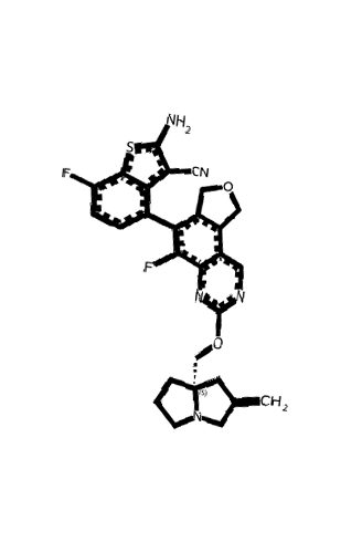 C=C1CN2CCC[C@@]2(COc2ncc3c4c(c(-c5ccc(F)c6sc(N)c(C#N)c56)c(F)c3n2)COC4)C1